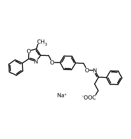 Cc1oc(-c2ccccc2)nc1COc1ccc(CO/N=C(\CCC(=O)[O-])c2ccccc2)cc1.[Na+]